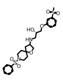 CS(=O)(=O)c1cccc(OC[C@@H](O)CNC2COC3(CCN(S(=O)(=O)c4ccccc4)CC3)C2)c1